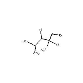 CCCC(C)C(Cl)C(C)(Cl)C[O]